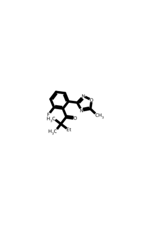 CCC(C)(C)C(=O)c1c(F)cccc1-c1noc(C)n1